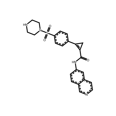 O=C(Nc1ccc2cnccc2c1)C1=C(c2ccc(S(=O)(=O)N3CCNCC3)cc2)C1